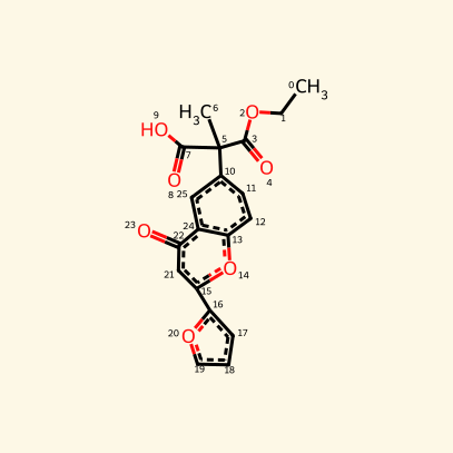 CCOC(=O)C(C)(C(=O)O)c1ccc2oc(-c3ccco3)cc(=O)c2c1